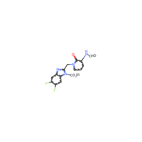 CCOC(=O)n1c(Cn2cccc(NC=O)c2=O)nc2cc(F)c(F)cc21